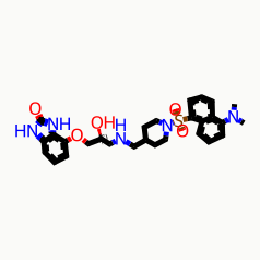 CN(C)c1cccc2c(S(=O)(=O)N3CCC(CNC[C@H](O)COc4cccc5[nH]c(=O)[nH]c45)CC3)cccc12